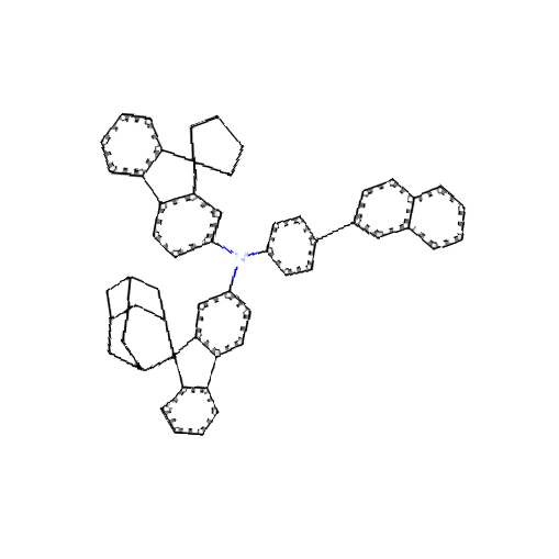 c1ccc2c(c1)-c1ccc(N(c3ccc(-c4ccc5ccccc5c4)cc3)c3ccc4c(c3)C3(c5ccccc5-4)C4CC5CC(C4)CC3C5)cc1C21CCCC1